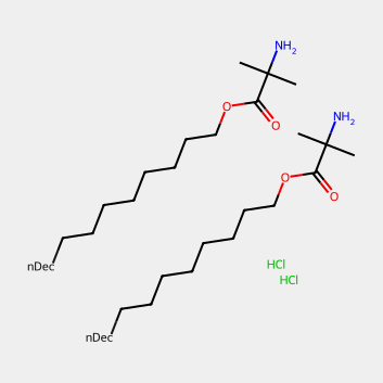 CCCCCCCCCCCCCCCCCCOC(=O)C(C)(C)N.CCCCCCCCCCCCCCCCCCOC(=O)C(C)(C)N.Cl.Cl